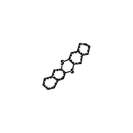 c1ccc2cc3c(cc2c1)Sc1cc2ccccc2cc1S3